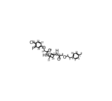 Cc1ccc(CCOCC(=O)NC2=CC(C)(NC(=O)COc3ccc(Cl)c(F)c3)C2)cc1